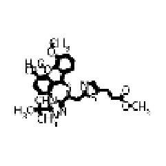 COC(=O)CCc1cnc(CC2SC(c3cccc(OC)c3OC)c3cc(Cl)ccc3-n3c2nnc3C(C)(C)C)s1